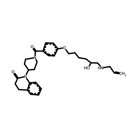 C=CCNCC(O)CCCCOc1ccc(C(=O)N2CCC(N3C(=O)CCc4ccccc43)CC2)cc1